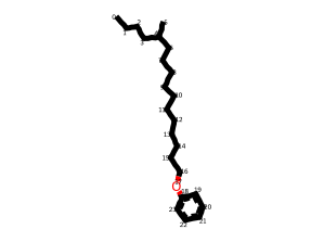 CCCCC(C)CCCCCCCCCCCOc1ccccc1